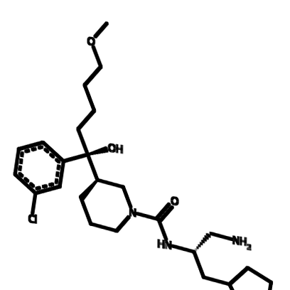 COCCCC[C@@](O)(c1cccc(Cl)c1)[C@@H]1CCCN(C(=O)N[C@H](CN)CC2CCCO2)C1